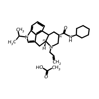 C=CCN1C[C@H](C(=O)NC2CCCCC2)CC2c3cccc4c3c(cn4C(C)C)C[C@H]21.CC(=O)O